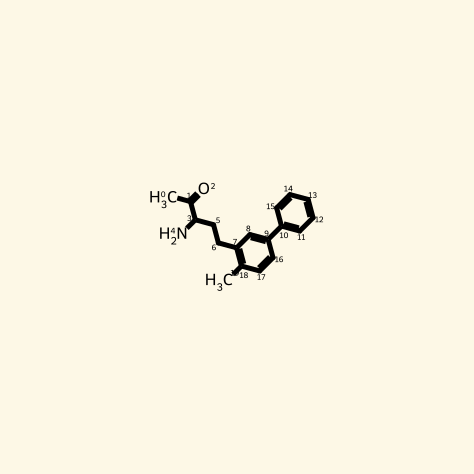 CC(=O)C(N)CCc1cc(-c2ccccc2)ccc1C